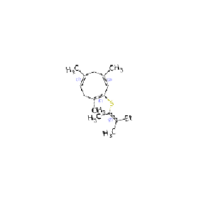 CC/C(C)=C(/C)SC1=C(\C)C/C=C(/C)C/C(C)=C\1